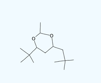 CC1OC(CC(C)(C)C)CC(C(C)(C)C)O1